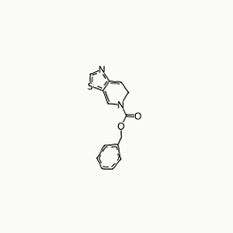 O=C(OCc1ccccc1)N1C=c2scnc2=CC1